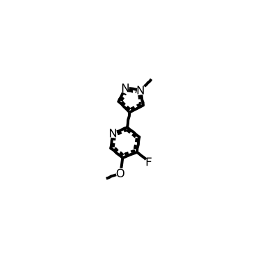 COc1cnc(-c2cnn(C)c2)cc1F